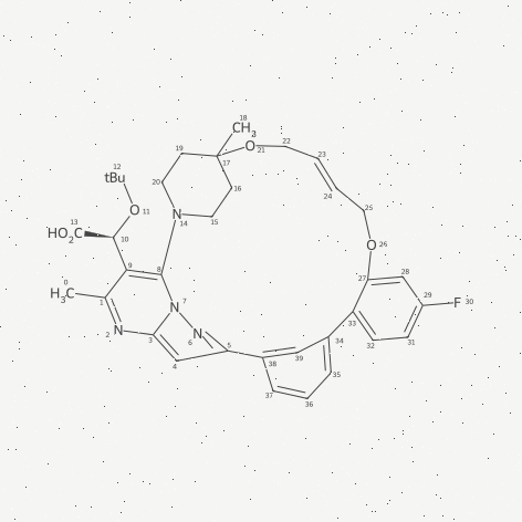 Cc1nc2cc3nn2c(c1[C@H](OC(C)(C)C)C(=O)O)N1CCC(C)(CC1)OC/C=C/COc1cc(F)ccc1-c1cccc-3c1